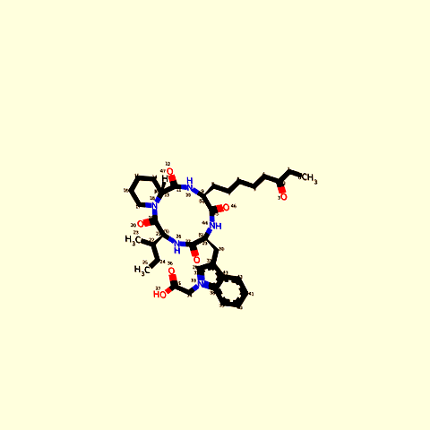 CCC(=O)CCCCC[C@@H]1NC(=O)[C@H]2CCCCN2C(=O)[C@H](C(C)CC)NC(=O)[C@H](Cc2cn(CC(=O)O)c3ccccc23)NC1=O